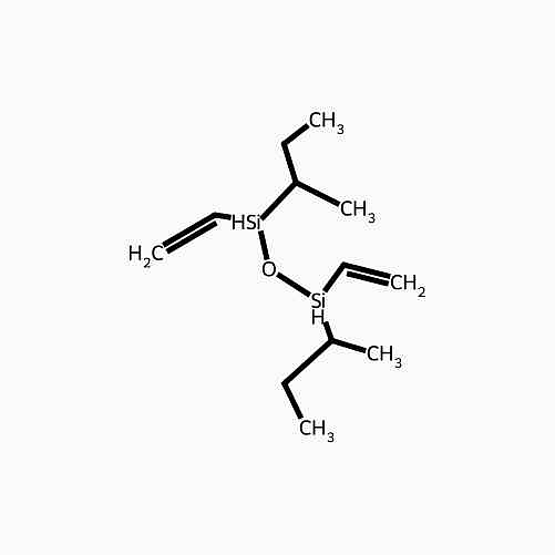 C=C[SiH](O[SiH](C=C)C(C)CC)C(C)CC